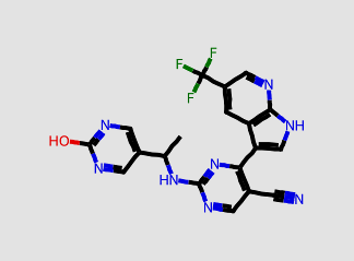 CC(Nc1ncc(C#N)c(-c2c[nH]c3ncc(C(F)(F)F)cc23)n1)c1cnc(O)nc1